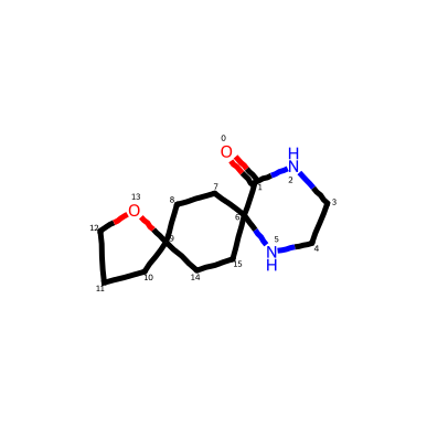 O=C1NCCNC12CCC1(CCCO1)CC2